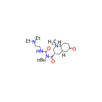 CCCCN(C(=O)NCCN(CC)CC)C(=O)[C@@H]1C[C@@H]2CC(=O)CC[C@H]2N(C)C1